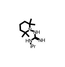 CC(C)NC(=N)NN1C(C)(C)CCCC1(C)C